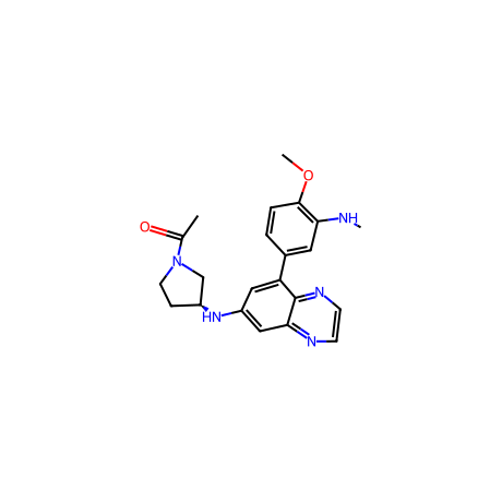 CNc1cc(-c2cc(N[C@H]3CCN(C(C)=O)C3)cc3nccnc23)ccc1OC